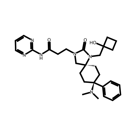 CN(C)[C@]1(c2ccccc2)CC[C@]2(CC1)CN(CCC(=O)Nc1ncccn1)C(=O)N2CC1(O)CCC1